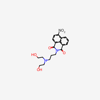 O=C1c2cccc3c([N+](=O)[O-])ccc(c23)C(=O)N1CCCN(CCO)CCO